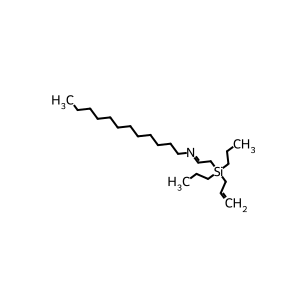 C=CC[Si](CC=NCCCCCCCCCCCC)(CCC)CCC